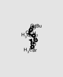 Cc1cc(CN(C(=O)[C@@H]2CCCN(c3cccc(OC(C)(C)C(=O)N4CCN(C(=O)OC(C)(C)C)CC4)c3)C2)C2CC2)ccc1Br